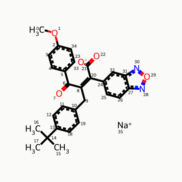 COc1ccc(C(=O)C(Cc2ccc(C(C)(C)C)cc2)=C(C(=O)[O-])c2ccc3nonc3c2)cc1.[Na+]